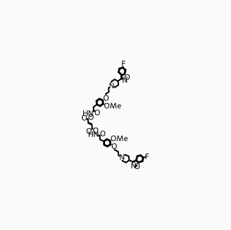 COc1cc(CC(=O)NOC(=O)/C=C/C(=O)ONC(=O)Cc2ccc(OCCCN3CCC(c4noc5cc(F)ccc45)CC3)c(OC)c2)ccc1OCCCN1CCC(c2noc3cc(F)ccc23)CC1